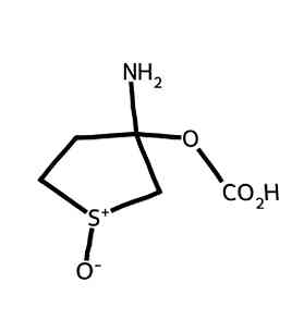 NC1(OC(=O)O)CC[S+]([O-])C1